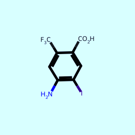 Nc1cc(C(F)(F)F)c(C(=O)O)cc1I